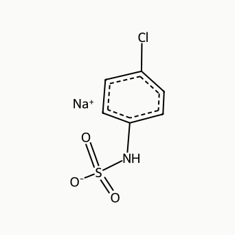 O=S(=O)([O-])Nc1ccc(Cl)cc1.[Na+]